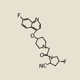 N#CC1C[C@H](F)CN1C(=O)CN1CCC(Oc2ccnc3cc(F)ccc23)CC1